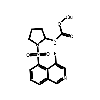 CC(C)(C)OC(=O)NC1CCCN1S(=O)(=O)c1cccc2cncc(F)c12